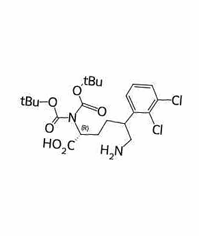 CC(C)(C)OC(=O)N(C(=O)OC(C)(C)C)[C@H](CCC(CN)c1cccc(Cl)c1Cl)C(=O)O